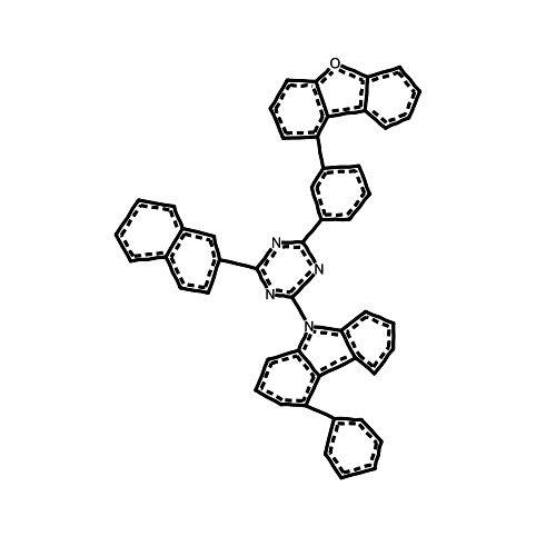 c1ccc(-c2cccc3c2c2ccccc2n3-c2nc(-c3cccc(-c4cccc5oc6ccccc6c45)c3)nc(-c3ccc4ccccc4c3)n2)cc1